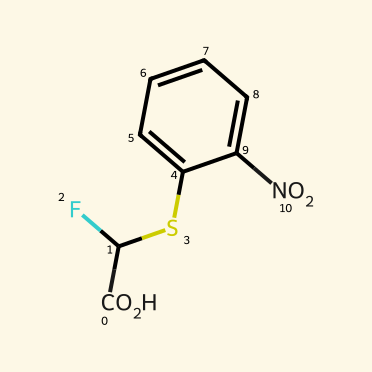 O=C(O)C(F)Sc1ccccc1[N+](=O)[O-]